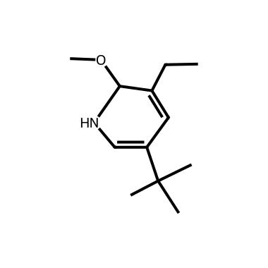 CCC1=CC(C(C)(C)C)=CNC1OC